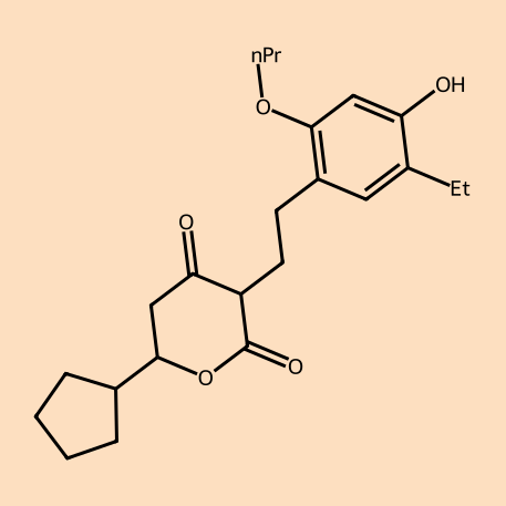 CCCOc1cc(O)c(CC)cc1CCC1C(=O)CC(C2CCCC2)OC1=O